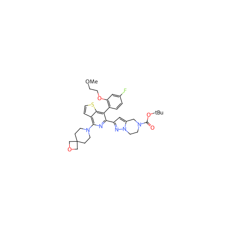 COCCOc1cc(F)ccc1-c1c(-c2cc3n(n2)CCN(C(=O)OC(C)(C)C)C3)nc(N2CCC3(CC2)COC3)c2ccsc12